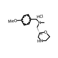 COc1ccc(CN(C)C[C@H]2CNCCO2)cc1.Cl